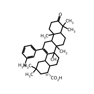 CC1(C)CC2C3=C(c4cccc(N)c4)CC4C5(C)CCC(=O)C(C)(C)C5CCC4(C)C3(C)CCC2[C@H](C(=O)O)C1